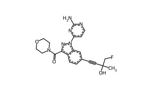 CC(O)(C#Cc1ccc2c(C(=O)N3CCOCC3)nn(-c3ccnc(N)n3)c2c1)CF